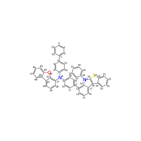 c1ccc(-c2ccc(N(c3ccc(-c4cccc5c6c7ccccc7sc6n(-c6ccccc6)c45)cc3)c3cccc4c3oc3ccccc34)cc2)cc1